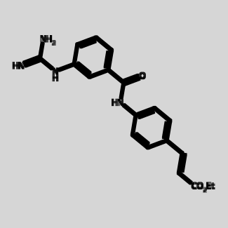 CCOC(=O)C=Cc1ccc(NC(=O)c2cccc(NC(=N)N)c2)cc1